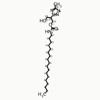 CCCCCCCCCCCCCCCCCCNC(=O)OCC(CO)n1nnc(C)n1